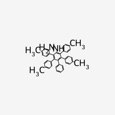 Cc1ccc(-c2c(NN)c(-c3ccc(C)cc3)c(-c3ccc(C)cc3)c(-c3ccccc3)c2-c2ccc(C)cc2)cc1